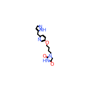 O=C1CN(CCCCOc2ccc(Cc3ccn[nH]3)nc2)C(=O)N1